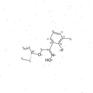 C=C[C@@H](CC)OCC(=NO)c1cccc(C)c1F